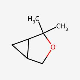 CC1(C)OCC2CC21